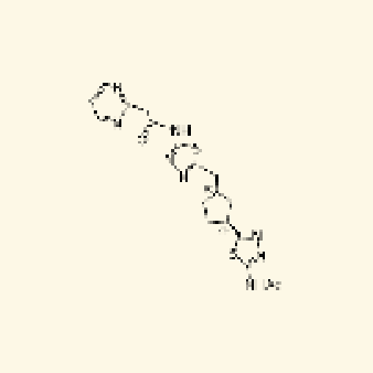 CC(=O)Nc1nnc([C@H]2CC[C@@H](Cc3nnc(NC(=O)Cc4ncccn4)s3)C2)s1